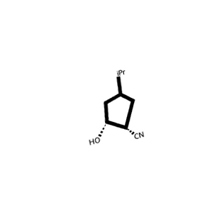 CC(C)C1C[C@@H](O)[C@@H](C#N)C1